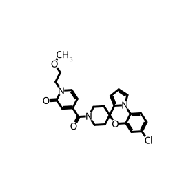 COCCn1ccc(C(=O)N2CCC3(CC2)Oc2cc(Cl)ccc2-n2cccc23)cc1=O